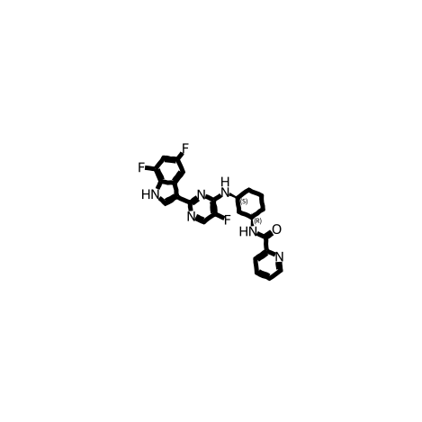 O=C(N[C@@H]1CCC[C@H](Nc2nc(-c3c[nH]c4c(F)cc(F)cc34)ncc2F)C1)c1ccccn1